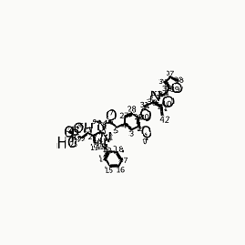 COc1cc(CC(=O)N(C)c2nn(-c3ccccc3)cc2/C=C/P(=O)(O)O)ccc1OCc1nc(-c2ccco2)oc1C